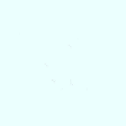 Cn1c2c(c3cc(F)ccc31)CN(C(=O)C1CCCCC1)CC2.N#CC1(NC(=O)O)CC1